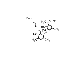 CCCCCCCCCCC(C)c1cc(C)cc(C)c1O.CCCCCCCCCCCCCCCCC(C)c1cc(C)cc(C)c1O